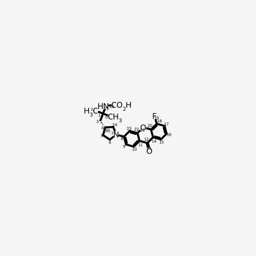 CC(C)(C[C@H]1CCN(c2ccc3c(=O)c4cccc(F)c4oc3c2)C1)NC(=O)O